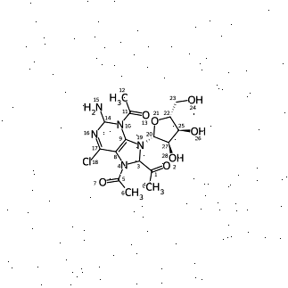 CC(=O)C1N(C(C)=O)C2=C(N(C(C)=O)C(N)N=C2Cl)N1[C@@H]1O[C@H](CO)[C@@H](O)[C@H]1O